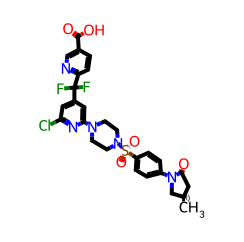 C[C@@H]1CC(=O)N(c2ccc(S(=O)(=O)N3CCN(c4cc(C(F)(F)c5ccc(C(=O)O)cn5)cc(Cl)n4)CC3)cc2)C1